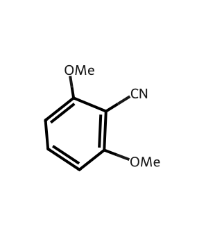 COc1cccc(OC)c1C#N